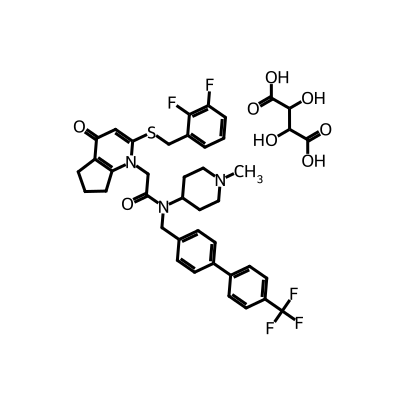 CN1CCC(N(Cc2ccc(-c3ccc(C(F)(F)F)cc3)cc2)C(=O)Cn2c(SCc3cccc(F)c3F)cc(=O)c3c2CCC3)CC1.O=C(O)C(O)C(O)C(=O)O